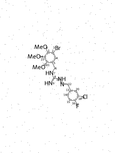 COc1c(Br)cc(CNC(=N)NN=Cc2ccc(F)c(Cl)c2)c(OC)c1OC